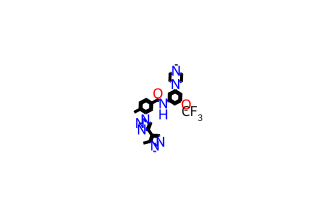 Cc1ccc(C(=O)Nc2cc(OC(F)(F)F)cc(N3CCN(C)CC3)c2)cc1-n1cc(-c2cnn(C)c2C)nn1